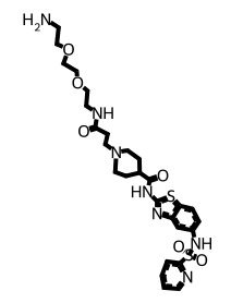 NCCOCCOCCNC(=O)CCN1CCC(C(=O)Nc2nc3cc(NS(=O)(=O)c4ccccn4)ccc3s2)CC1